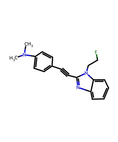 CN(C)c1ccc(C#Cc2nc3ccccc3n2CCF)cc1